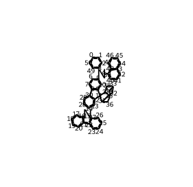 c1ccc(N(c2ccc3c(c2)C2(c4cc(-n5c6ccccc6c6ccccc65)ccc4-3)C3CC4CC(C3)C2C4)c2cccc3ccccc23)cc1